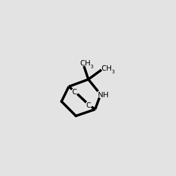 CC1(C)NC2CCC1CC2